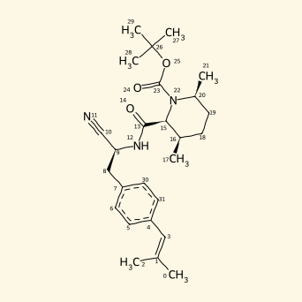 CC(C)=Cc1ccc(C[C@@H](C#N)NC(=O)[C@@H]2[C@H](C)CC[C@H](C)N2C(=O)OC(C)(C)C)cc1